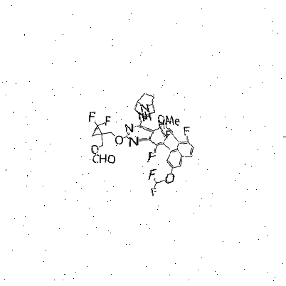 C#Cc1c(F)ccc2cc(OC(F)F)cc(-c3c(F)c(OC)c4c(N5CC6CCC(C5)N6)nc(OCC5(COC=O)CC5(F)F)nc4c3F)c12